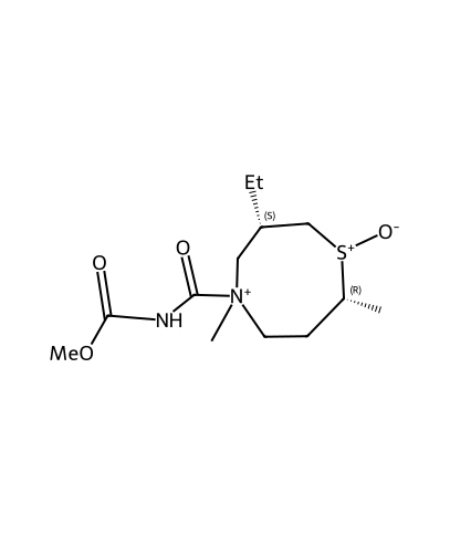 CC[C@@H]1C[S+]([O-])[C@H](C)CC[N+](C)(C(=O)NC(=O)OC)C1